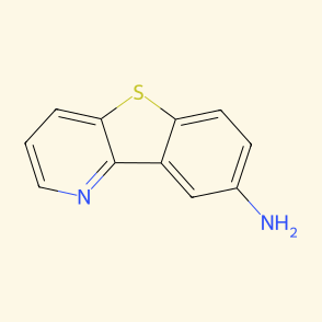 Nc1ccc2sc3cccnc3c2c1